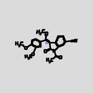 CO/C(=C1/C(=O)N(C(C)=O)c2cc(C#N)ccc21)c1ccc(OC)c(OC)c1